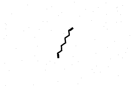 C=CCC[CH]CCC=C